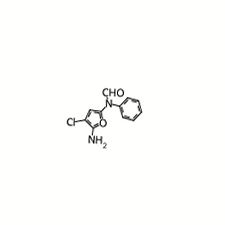 Nc1oc(N(C=O)c2ccccc2)cc1Cl